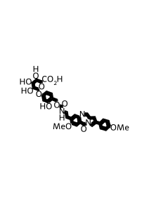 COc1ccc(C2=CN3C(=O)c4cc(OC)c(CCNC(=O)OCc5ccc(O[C@@H]6O[C@H](C(=O)O)[C@@H](O)[C@H](O)[C@H]6O)cc5O)cc4N=CC3C2)cc1